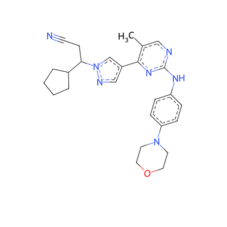 Cc1cnc(Nc2ccc(N3CCOCC3)cc2)nc1-c1cnn(C(CC#N)C2CCCC2)c1